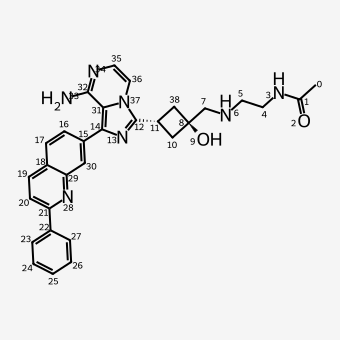 CC(=O)NCCNC[C@]1(O)C[C@H](c2nc(-c3ccc4ccc(-c5ccccc5)nc4c3)c3c(N)nccn32)C1